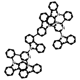 c1ccc(-n2c3ccccc3c3ccccc32)c(-c2cc(-n3c4ccccc4c4ccccc43)nc(-n3c4ccccc4c4c(-c5ccc6c(c5)c5ccccc5n6-c5cc(-n6c7ccccc7c7ccccc76)nc(-c6ccccc6-n6c7ccccc7c7ccccc76)n5)cccc43)c2)c1